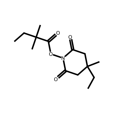 CCC1(C)CC(=O)N(OC(=O)C(C)(C)CC)C(=O)C1